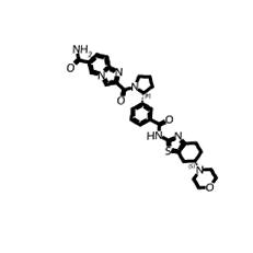 NC(=O)c1ccc2nc(C(=O)N3CCC[C@@H]3c3cccc(C(=O)Nc4nc5c(s4)C[C@@H](N4CCOCC4)CC5)c3)cn2c1